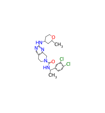 CC1CC(Nc2ncc3c(n2)CN(C(=O)NC(C)c2ccc(Cl)c(Cl)c2)CC3)CCO1